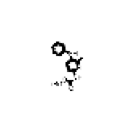 Cc1nc(NC(=O)OC(C)(C)C)ccc1Nc1ccccc1